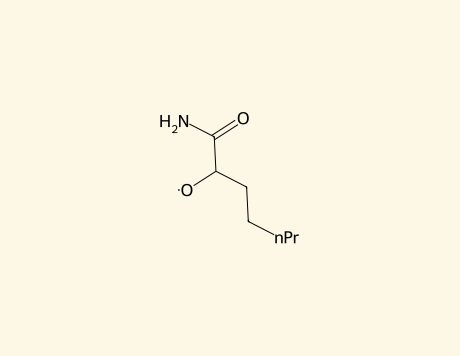 CCCCCC([O])C(N)=O